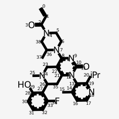 C=CC(=O)N1CCN(c2nc(=O)n(-c3c(C)ccnc3C(C)C)c3c2CN(C)C(c2c(O)cccc2F)C3)C(C)C1